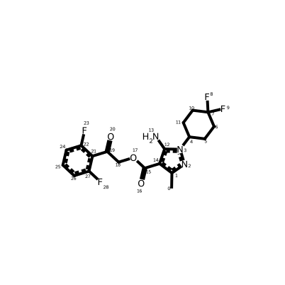 Cc1nn(C2CCC(F)(F)CC2)c(N)c1C(=O)OCC(=O)c1c(F)cccc1F